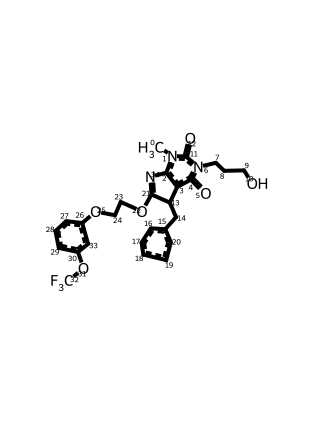 Cn1c2c(c(=O)n(CCCO)c1=O)C(Cc1ccccc1)C(OCCOc1cccc(OC(F)(F)F)c1)=N2